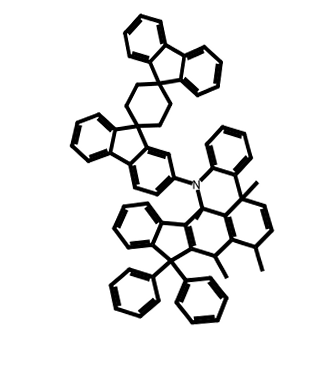 CC1C=CC2(C)C3=C1C(C)C1=C(c4ccccc4C1(c1ccccc1)c1ccccc1)C3(C)N(c1ccc3c(c1)C1(CCC4(CC1)c1ccccc1-c1ccccc14)c1ccccc1-3)c1ccccc12